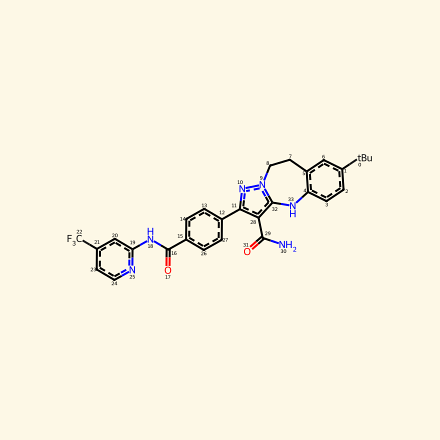 CC(C)(C)c1ccc2c(c1)CCn1nc(-c3ccc(C(=O)Nc4cc(C(F)(F)F)ccn4)cc3)c(C(N)=O)c1N2